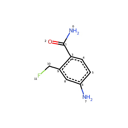 NC(=O)c1ccc(N)cc1CF